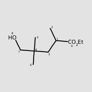 CCOC(=O)C(C)CC(C)(C)CO